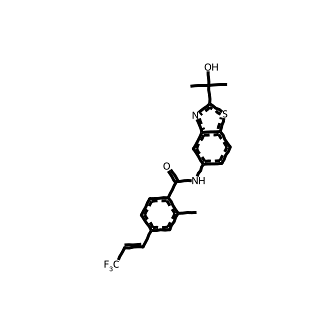 Cc1cc(C=CC(F)(F)F)ccc1C(=O)Nc1ccc2sc(C(C)(C)O)nc2c1